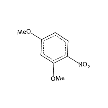 COc1ccc([N+](=O)[O-])c(OC)c1